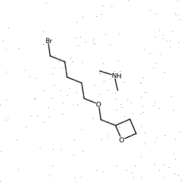 BrCCCCCOCC1CCO1.CNC